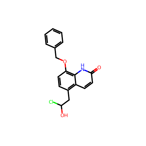 O=c1ccc2c(CC(O)Cl)ccc(OCc3ccccc3)c2[nH]1